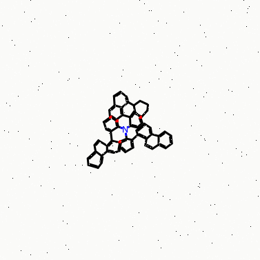 c1ccc(N(c2ccccc2-c2cccc3c2ccc2ccccc23)c2ccccc2-c2cccc3cccc(C4CCCCC4)c23)c(-c2cccc3c2ccc2ccccc23)c1